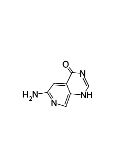 Nc1cc2c(=O)nc[nH]c2cn1